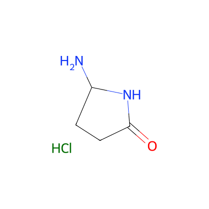 Cl.NC1CCC(=O)N1